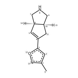 Cc1cc(C2=C[C@H]3CNC[C@H]3C2)on1